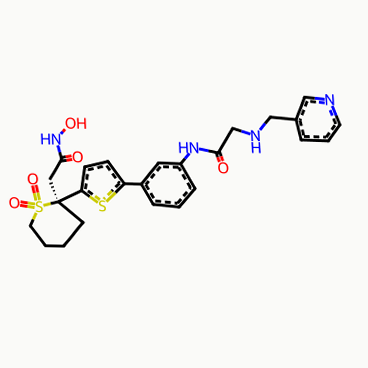 O=C(C[C@]1(c2ccc(-c3cccc(NC(=O)CNCc4cccnc4)c3)s2)CCCCS1(=O)=O)NO